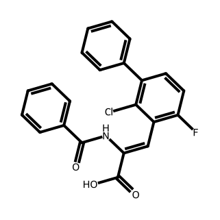 O=C(O)C(=Cc1c(F)ccc(-c2ccccc2)c1Cl)NC(=O)c1ccccc1